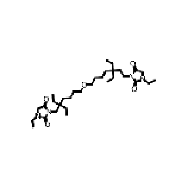 CCN1CC(=O)N(CCC(CC)(CC)CCCCOCCCCC(CC)(CC)CN2C(=O)CN(CC)C2=O)C1=O